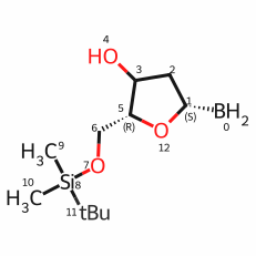 B[C@H]1CC(O)[C@@H](CO[Si](C)(C)C(C)(C)C)O1